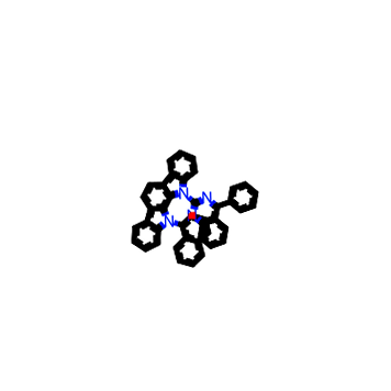 c1ccc(-c2nc(-n3c4ccccc4c4ccc5c6ccccc6n(-c6cccc7ccccc67)c5c43)nc3ccccc23)cc1